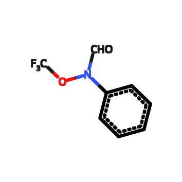 O=CN(OC(F)(F)F)c1ccccc1